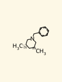 C[C@@H]1C[C@H](C)CN(Cc2ccccc2)C1